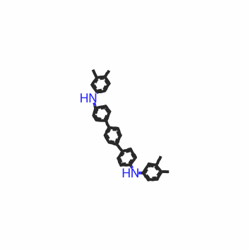 Cc1ccc(Nc2ccc(-c3ccc(-c4ccc(Nc5ccc(C)c(C)c5)cc4)cc3)cc2)cc1C